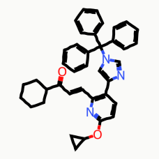 O=C(/C=C/c1nc(OC2CC2)ccc1-c1cn(C(c2ccccc2)(c2ccccc2)c2ccccc2)cn1)C1CCCCC1